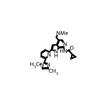 CNCc1cnc(NC(=O)C2CC2)c2[nH]c(-c3cccc(-c4nc(C)cn4C)n3)cc12